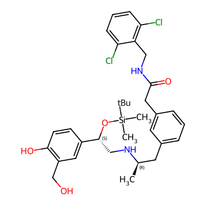 C[C@H](Cc1cccc(CC(=O)NCc2c(Cl)cccc2Cl)c1)NC[C@@H](O[Si](C)(C)C(C)(C)C)c1ccc(O)c(CO)c1